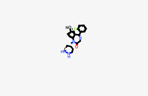 C1CCNNCC1.CN1C(=O)CN=C(c2ccccc2F)c2cc([N+](=O)[O-])ccc21